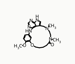 COc1ccc2cc1OCCCCC(=O)N(C)CCN(C)Cc1c[nH]c3ncnc(c13)N2